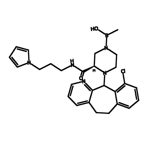 CB(O)N1CCN(C2c3ncccc3CCc3cccc(Cl)c32)[C@@H](C(=O)NCCCn2cccc2)C1